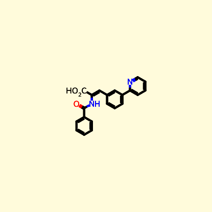 O=C(O)/C(=C/c1cccc(-c2ccccn2)c1)NC(=O)c1ccccc1